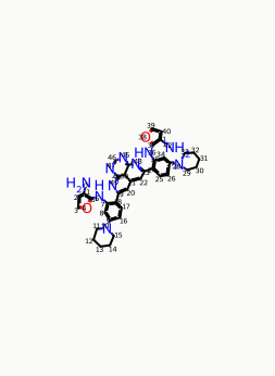 Nc1ccoc1Nc1cc(N2CCCCC2)ccc1C1=CC2=CC(c3ccc(N4CCCCC4)cc3Nc3occc3N)=NC3=NC=NC(=N1)C23